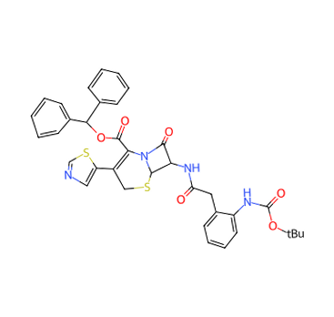 CC(C)(C)OC(=O)Nc1ccccc1CC(=O)NC1C(=O)N2C(C(=O)OC(c3ccccc3)c3ccccc3)=C(c3cncs3)CSC12